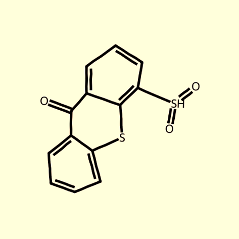 O=c1c2ccccc2sc2c([SH](=O)=O)cccc12